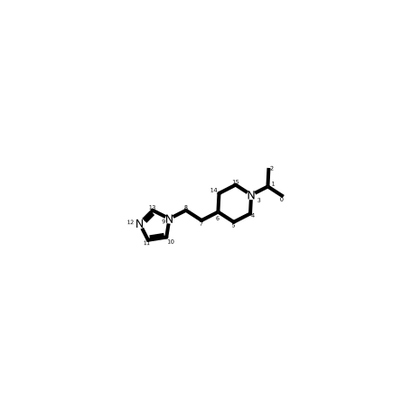 CC(C)N1CCC(CCn2ccnc2)CC1